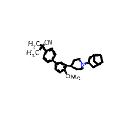 COc1ccc(-c2ccc(C(C)(C)C#N)cc2)cc1C1CCN(C2CC3CCC(C3)C2)CC1